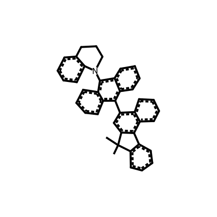 CC1(C)c2ccccc2-c2c1cc(-c1c3ccccc3c(N3CCCc4ccccc43)c3ccccc13)c1ccccc21